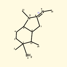 BC1(C)CCC2C(C/C(=N\C)N2C)C1C